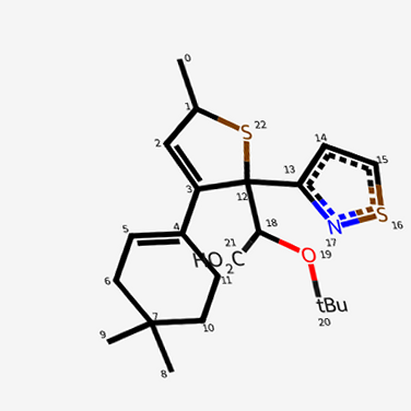 CC1C=C(C2=CCC(C)(C)CC2)C(c2ccsn2)(C(OC(C)(C)C)C(=O)O)S1